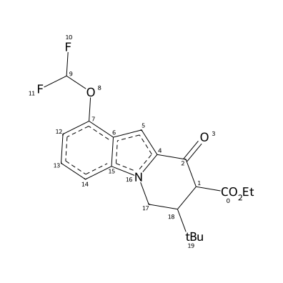 CCOC(=O)C1C(=O)c2cc3c(OC(F)F)cccc3n2CC1C(C)(C)C